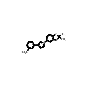 CC1(C)Oc2ccc(-n3ccc(-c4cccc(C(=O)O)c4)c3)cc2O1